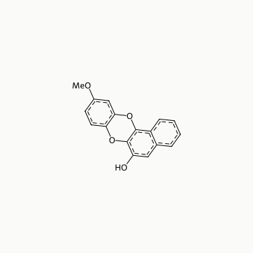 COc1ccc2c(c1)Oc1c(c(O)cc3ccccc13)O2